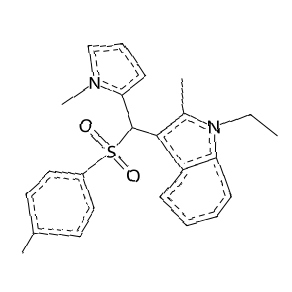 CCn1c(C)c(C(c2cccn2C)S(=O)(=O)c2ccc(C)cc2)c2ccccc21